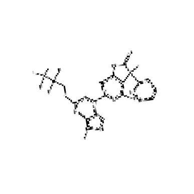 Cn1ncc2c(-c3nc(N)c4c(n3)NC(=O)C4(C)c3ccccn3)nc(CCC(F)(F)C(F)(F)F)nc21